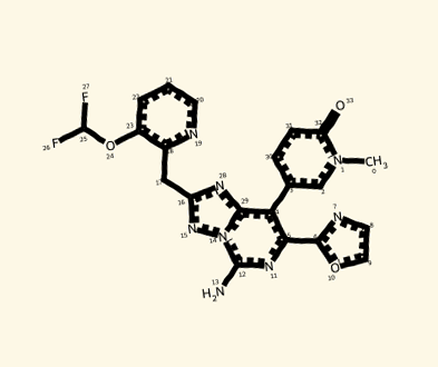 Cn1cc(-c2c(-c3ncco3)nc(N)n3nc(Cc4ncccc4OC(F)F)nc23)ccc1=O